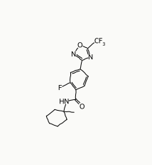 CC1(NC(=O)c2ccc(-c3noc(C(F)(F)F)n3)cc2F)CCCCC1